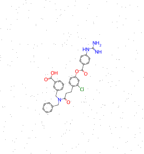 N=C(N)Nc1ccc(C(=O)Oc2ccc(CCC(=O)N(Cc3ccccc3)Cc3cccc(C(=O)O)c3)c(Cl)c2)cc1